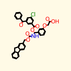 O=C(O)COc1cccc(C(NC(=O)OCc2ccc3c(c2)Cc2ccccc2-3)OC(=O)c2cc(Cl)cc(C(=O)c3ccccc3)c2)c1